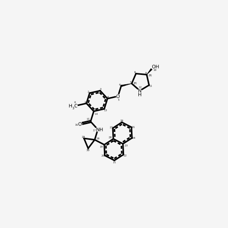 Cc1ccc(OC[C@H]2C[C@@H](O)CN2)cc1C(=O)NC1(c2cccc3ccccc23)CC1